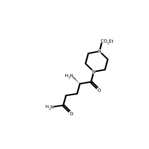 CCOC(=O)N1CCN(C(=O)[C@@H](N)CCC(N)=O)CC1